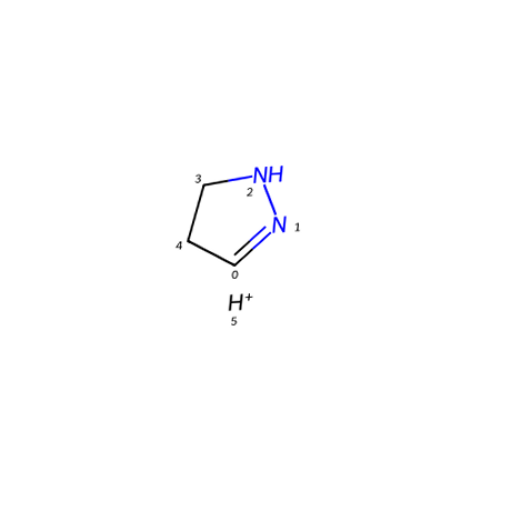 C1=NNCC1.[H+]